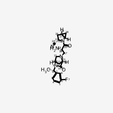 C[C@@H](c1cccc(F)c1)N1C(=O)[C@@H]2C[C@H]1CN2C[C@H](N)C(=O)N1[C@H](C#N)C[C@@H]2C[C@@H]21